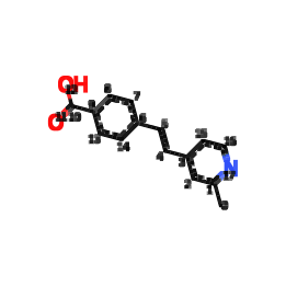 Cc1cc(C=Cc2ccc(C(=O)O)cc2)ccn1